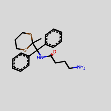 CC1(C(NC(=O)CCCN)(c2ccccc2)c2ccccc2)SCCCS1